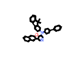 CC1(C)c2ccccc2-c2ccc(N(c3ccc(-c4ccccc4)cc3)c3cncc4c3oc3cc5ccccc5cc34)cc21